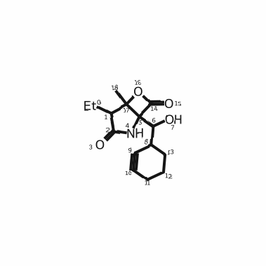 CCC1C(=O)NC2(C(O)C3C#CCCC3)C(=O)OC12C